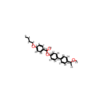 CCCCOc1ccc(C(=O)Oc2ccc(-c3ccc(C(C)OC)cc3)cc2)cc1